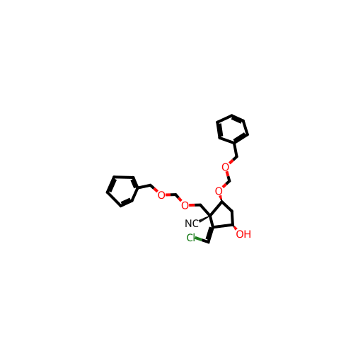 N#C[C@]1(COCOCc2ccccc2)/C(=C\Cl)[C@H](O)C[C@@H]1OCOCc1ccccc1